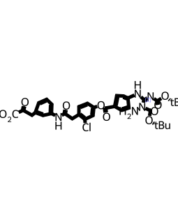 CC(C)(C)OC(=O)/N=C(/Nc1ccc(C(=O)Oc2ccc(CC(=O)Nc3cccc(CC(=O)C(=O)O)c3)c(Cl)c2)cc1)N(N)C(=O)OC(C)(C)C